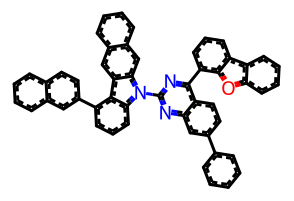 c1ccc(-c2ccc3c(-c4cccc5c4oc4ccccc45)nc(-n4c5cc6ccccc6cc5c5c(-c6ccc7ccccc7c6)cccc54)nc3c2)cc1